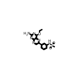 CCOc1nc(N)nc2ncc(-c3cccc(NS(C)(=O)=O)c3)nc12